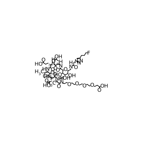 CC(C)[C@H](NC(=O)[C@H](CCC(=O)O)NC(=O)[C@H](CC(=O)O)NC(=O)C1OC(CNC(=O)Cn2cc(CCCF)nn2)C(O)C(O)C1O)C(=O)N[C@@H](CC(=O)O)C(=O)N[C@@H](C)C(=O)NCCOCCOCCOCCOCCC(=O)O